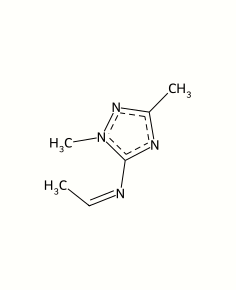 C/C=N\c1nc(C)nn1C